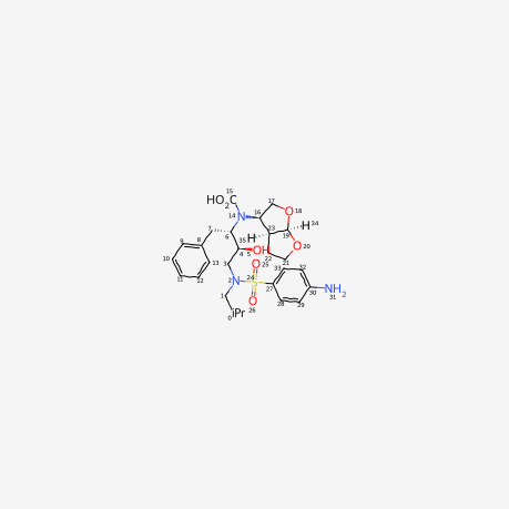 CC(C)CN(C[C@H](O)[C@H](Cc1ccccc1)N(C(=O)O)[C@H]1CO[C@H]2OCC[C@H]21)S(=O)(=O)c1ccc(N)cc1